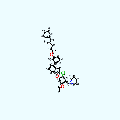 CCOc1cc(O[C@H]2CCc3c(-c4cccc(OCCCCCC5C[C@H](C)CC[C@H]5C)c4C)cccc32)c(Cl)cc1CN1CCCC[C@H]1C